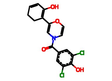 O=C(c1cc(Cl)c(O)c(Cl)c1)N1C=COC(C2=C(O)C=CCC2)=C1